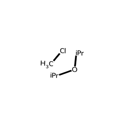 CC(C)OC(C)C.CCl